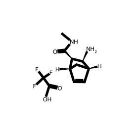 CNC(=O)[C@H]1[C@@H](N)[C@@H]2C=C[C@H]1C2.O=C(O)C(F)(F)F